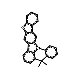 CC1(C)c2ccccc2-n2c3cc4c(cc3c3cccc1c32)oc1ccccc14